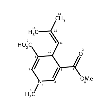 COC(=O)C1=CN(C)C=C(C(=O)O)C1C=C(C)C